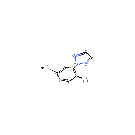 Cc1ccc(S(=O)(=O)O)cc1-n1nccn1